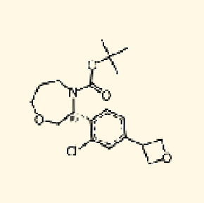 CC(C)(C)OC(=O)N1CCCOC[C@H]1c1ccc(C2COC2)cc1Cl